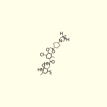 CSc1cc(C)[nH]c(=O)c1CNC(=O)c1cc(Cl)c2c(c1C)O[C@@H](C1CCC(N3C[C@H]4C[C@H]4C3)CC1)CO2